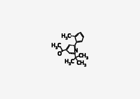 CC(=O)c1cc(-c2ccccc2C)nc(C(C)(C)C)c1